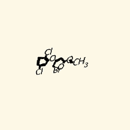 CCOC(=O)/C=C(\CBr)Oc1cc(Cl)ccc1Cl